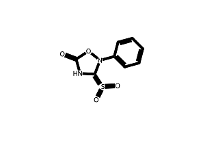 O=c1[nH]c(=S(=O)=O)n(-c2ccccc2)o1